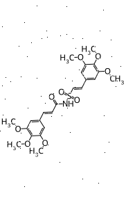 COc1cc(/C=C/C(=O)NS(=O)(=O)/C=C/c2cc(OC)c(OC)c(OC)c2)cc(OC)c1OC